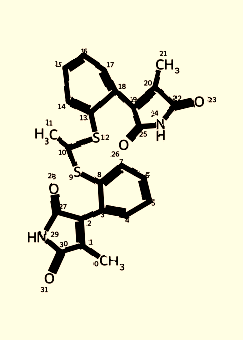 CC1=C(c2ccccc2SC(C)Sc2ccccc2C2=C(C)C(=O)NC2=O)C(=O)NC1=O